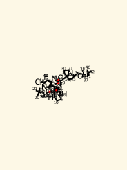 CC(C)(C)OC(=O)N1[C@@H]2CC[C@H]1[C@@H](CO[Si](C)(C)C(C)(C)C)N(c1nc(OCC34CCCN3C(CO[Si](C)(C)C(C)(C)C)CC4)nc3c(F)c(Cl)nc(Cl)c13)C2